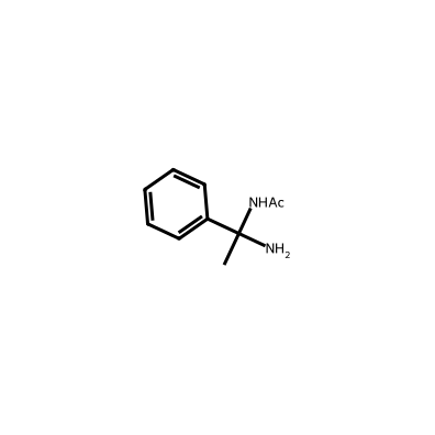 CC(=O)NC(C)(N)c1ccccc1